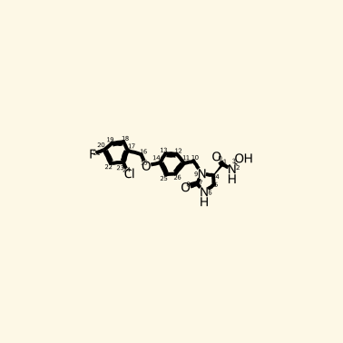 O=C(NO)[C@H]1CNC(=O)N1Cc1ccc(OCc2ccc(F)cc2Cl)cc1